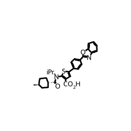 CC(C)N(c1sc(-c2ccc(-c3nc4ccccc4o3)cc2)cc1C(=O)O)C(=O)[C@H]1CC[C@H](C)CC1